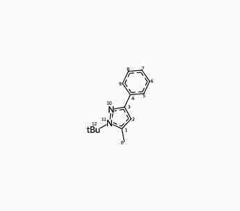 Cc1cc(-c2ccccc2)nn1C(C)(C)C